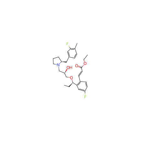 CCOC(=O)/C=C/c1ccc(F)cc1[C@@H](CC)OC[C@H](O)CN1CCC[C@H]1Cc1ccc(C)c(F)c1